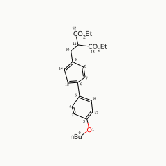 CCCCOc1ccc(-c2ccc(CC(C(=O)OCC)C(=O)OCC)cc2)cc1